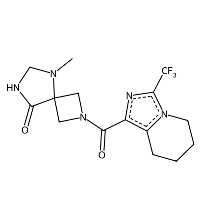 CN1CNC(=O)C12CN(C(=O)c1nc(C(F)(F)F)n3c1CCCC3)C2